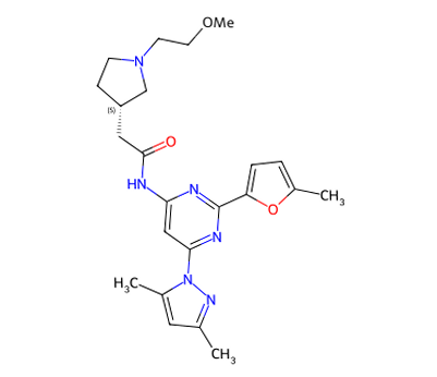 COCCN1CC[C@@H](CC(=O)Nc2cc(-n3nc(C)cc3C)nc(-c3ccc(C)o3)n2)C1